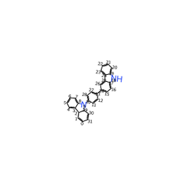 C1=CC2c3ccccc3N(c3ccc(-c4ccc5[nH]c6ccccc6c5c4)cc3)C2C=C1